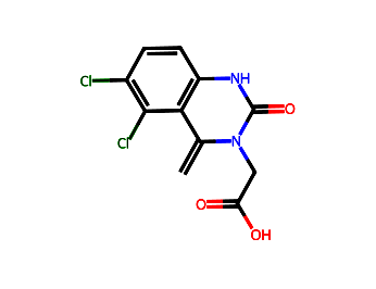 C=C1c2c(ccc(Cl)c2Cl)NC(=O)N1CC(=O)O